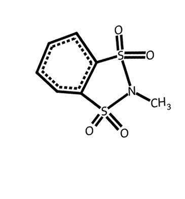 CN1S(=O)(=O)c2ccccc2S1(=O)=O